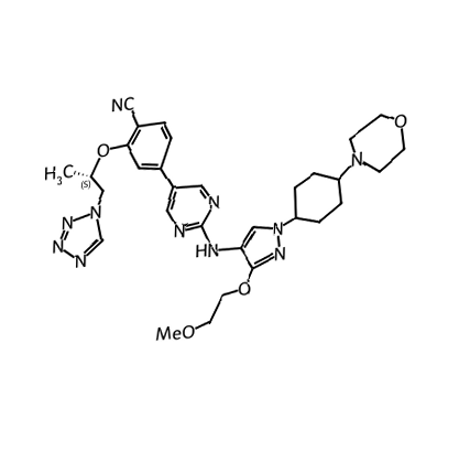 COCCOc1nn(C2CCC(N3CCOCC3)CC2)cc1Nc1ncc(-c2ccc(C#N)c(O[C@@H](C)Cn3cnnn3)c2)cn1